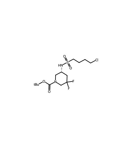 CC(C)(C)OC(=O)N1C[C@H](NS(=O)(=O)CCCCCl)CC(F)(F)C1